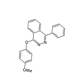 COc1ccc(Oc2nnc(-c3ccccc3)c3ccccc23)cc1